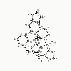 Cn1cncc1C(O)(c1ccc2c(c1)c(-c1cccc(Cl)c1)nc1nnnn12)c1cncn1C